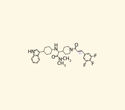 CN(C)C(=O)C(NC1CCC(c2c[nH]c3ccccc23)CC1)C1CCN(C(=O)/C=C/c2cc(F)c(F)c(F)c2)CC1